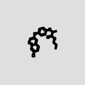 CCCOC(=O)C(C)Oc1ccc(Oc2cnc3cc(Cl)ccc3c2)cc1